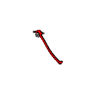 CCCN(CCCN(C)C(=O)CCOCCOCCOCCOCCOCCOCCOCCOCCOCCOCCOCCOCCOCCOCCOCCOCCOCCOCCOCCOCCOCCOCCOCCOCCOCCC(=O)Oc1c(F)c(F)cc(F)c1F)C(=O)C1=Cc2ccc(-c3cccc(S(=O)(=O)N4CC(CO)C4)c3)cc2N=C(N)C1